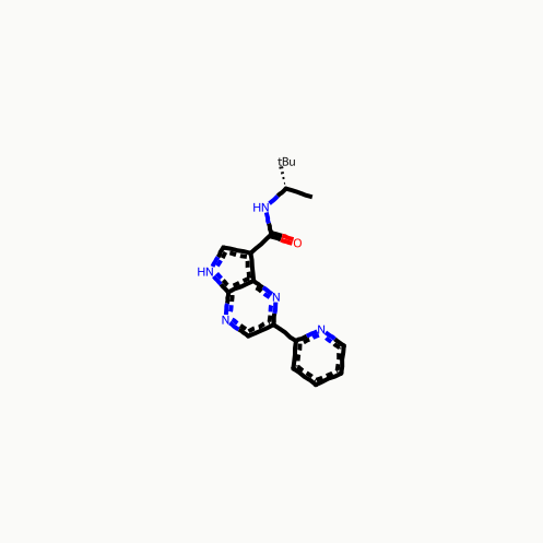 C[C@H](NC(=O)c1c[nH]c2ncc(-c3ccccn3)nc12)C(C)(C)C